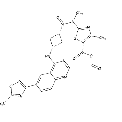 Cc1nc(-c2ccc3ncnc(N[C@H]4C[C@@H](C(=O)N(C)c5nc(C)c(C(=O)OC=O)s5)C4)c3c2)no1